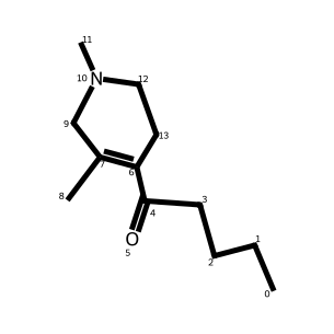 CCCCC(=O)C1=C(C)CN(C)CC1